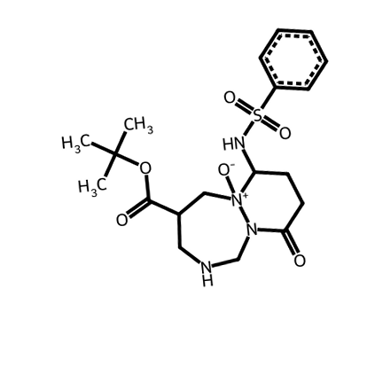 CC(C)(C)OC(=O)C1CNCN2C(=O)CCC(NS(=O)(=O)c3ccccc3)[N+]2([O-])C1